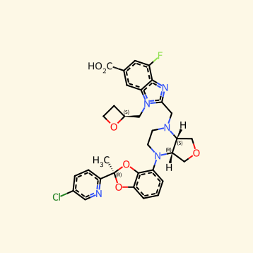 C[C@@]1(c2ccc(Cl)cn2)Oc2cccc(N3CCN(Cc4nc5c(F)cc(C(=O)O)cc5n4C[C@@H]4CCO4)[C@@H]4COC[C@@H]43)c2O1